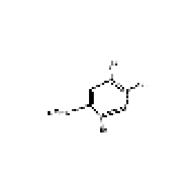 CCCCCc1cc(O)c(O)cc1Br